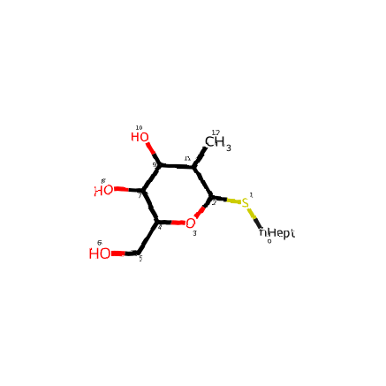 CCCCCCCSC1OC(CO)C(O)C(O)C1C